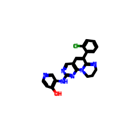 Oc1ccncc1Nc1ncc2c(n1)N1CCCN=C1C(c1ccccc1Cl)=C2